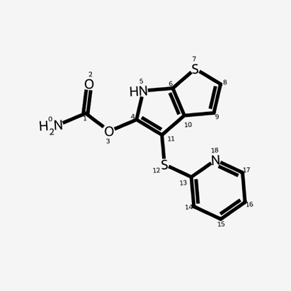 NC(=O)Oc1[nH]c2sccc2c1Sc1ccccn1